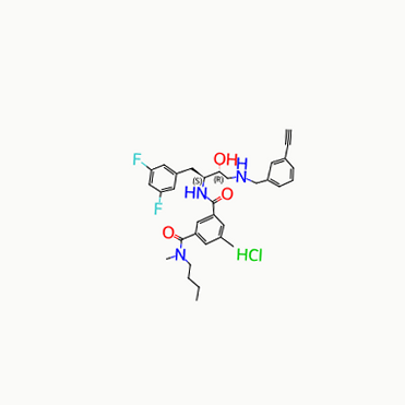 C#Cc1cccc(CNC[C@@H](O)[C@H](Cc2cc(F)cc(F)c2)NC(=O)c2cc(C)cc(C(=O)N(C)CCCC)c2)c1.Cl